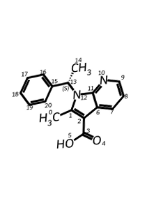 Cc1c(C(=O)O)c2cccnc2n1[C@@H](C)c1ccccc1